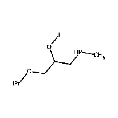 CPCC(COC(C)C)OI